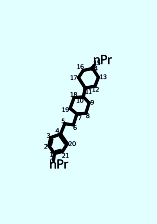 CCCc1ccc(CCC2CCC(C3CCC(CCC)CC3)CC2)cc1